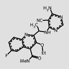 CCOc1c(C(C)Nc2ncnc(N)c2C#N)nc2ccc(F)cc2c1C(=O)NC